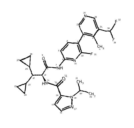 Cc1c(-c2ccc(NC(=O)[C@@H](NC(=O)c3ccnn3C(C)C)C(C3CC3)C3CC3)nc2F)cncc1C(F)F